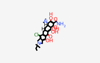 CCC(C)(C)N1Cc2c(O)c3c(c(Cl)c2C1)C[C@H]1C[C@H]2[C@H](N(C)C)C(O)=C(C(N)=O)C(=O)[C@@]2(O)C(O)=C1C3=O